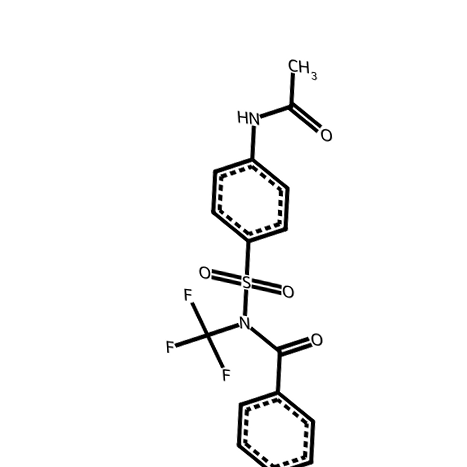 CC(=O)Nc1ccc(S(=O)(=O)N(C(=O)c2ccccc2)C(F)(F)F)cc1